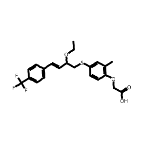 CCOC(C=Cc1ccc(C(F)(F)F)cc1)CSc1ccc(OCC(=O)O)c(C)c1